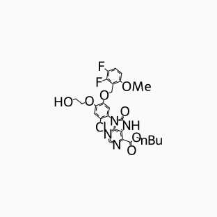 CCCCOC(=O)c1ncnc2c1[nH]c(=O)n2-c1cc(OCc2c(OC)ccc(F)c2F)c(OCCO)cc1Cl